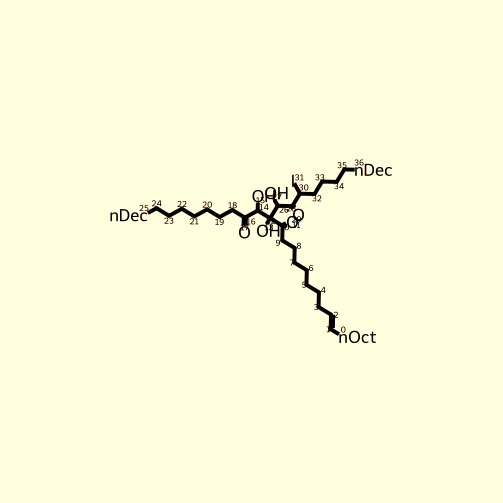 CCCCCCCCC=CCCCCCCCC(=O)C(O)(C(O)C(=O)CCCCCCCCCCCCCCCCC)C(O)C(=O)C(I)CCCCCCCCCCCCCC